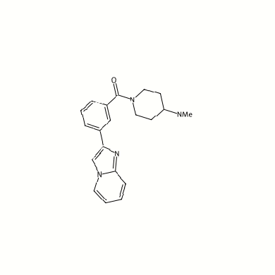 CNC1CCN(C(=O)c2cccc(-c3cn4ccccc4n3)c2)CC1